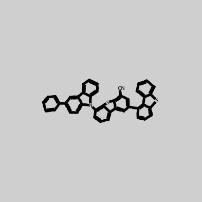 N#Cc1cc(-c2cccc3sc4ccccc4c23)cc2c1sc1c(-n3c4ccccc4c4cc(-c5ccccc5)ccc43)cccc12